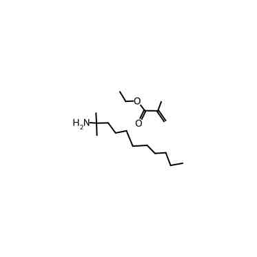 C=C(C)C(=O)OCC.CCCCCCCCCC(C)(C)N